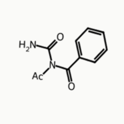 CC(=O)N(C(N)=O)C(=O)c1ccccc1